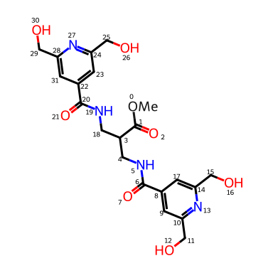 COC(=O)C(CNC(=O)c1cc(CO)nc(CO)c1)CNC(=O)c1cc(CO)nc(CO)c1